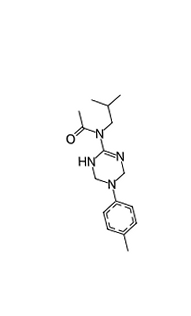 CC(=O)N(CC(C)C)C1=NCN(c2ccc(C)cc2)CN1